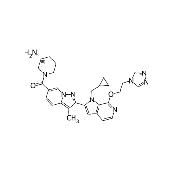 Cc1c(-c2cc3ccnc(OCCn4cnnc4)c3n2CC2CC2)nn2cc(C(=O)N3CCC[C@@H](N)C3)ccc12